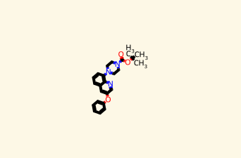 CC(C)(C)OC(=O)N1CCN(c2cccc3cc(Oc4ccccc4)cnc23)CC1